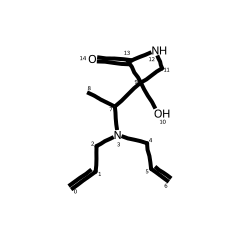 C=CCN(CC=C)C(C)C1(O)CNC1=O